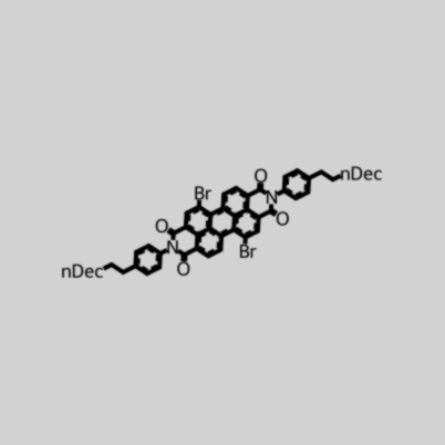 CCCCCCCCCCCCc1ccc(N2C(=O)c3ccc4c5c(Br)cc6c7c(ccc(c8c(Br)cc(c3c48)C2=O)c75)C(=O)N(c2ccc(CCCCCCCCCCCC)cc2)C6=O)cc1